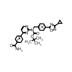 CC(C)(C)OC(=O)N(CC12CCC(c3nc(C4CC4)no3)(CC1)CC2)c1nccc(C23CCC(C(N)=O)(CC2)CC3)n1